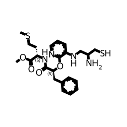 COC(=O)[C@H](CCSC)NC(=O)[C@H](Cc1ccccc1)Oc1ncccc1NCC(N)CS